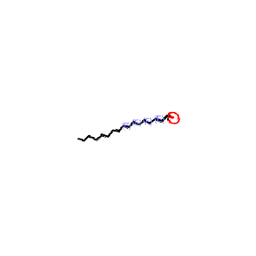 CCCCCCCC/C=C/C=C/C=C/C=C/[C]=O